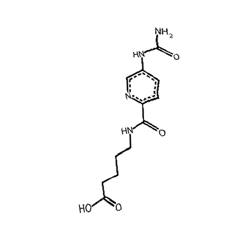 NC(=O)Nc1ccc(C(=O)NCCCCC(=O)O)nc1